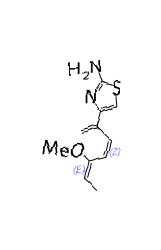 C=C(/C=C\C(=C/C)OC)c1csc(N)n1